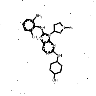 Bc1cccc(C)c1Nc1nc2cnc(NC3CCC(O)CC3)nc2n1C1CCN(C(C)=O)C1